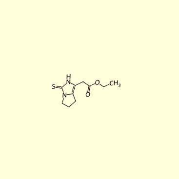 CCOC(=O)Cc1[nH]c(=S)n2c1CCC2